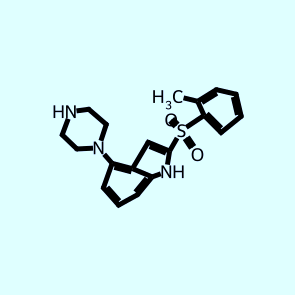 Cc1ccccc1S(=O)(=O)c1cc2c(N3CCNCC3)cccc2[nH]1